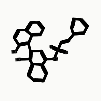 O=S(=O)(/C=C/c1ccccc1)Nc1cc(-c2c(O)ccc3ccccc23)c(O)c2ccccc12